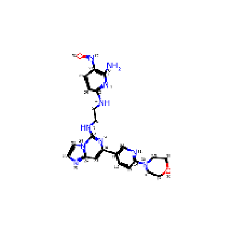 Nc1nc(NCCNc2nc(-c3ccc(N4CCOCC4)nc3)cc3nccn23)ccc1N=O